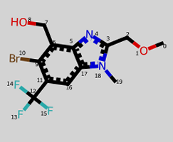 COCc1nc2c(CO)c(Br)c(C(F)(F)F)cc2n1C